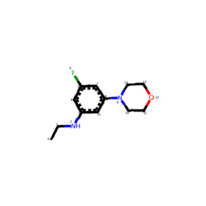 CCNc1cc(F)cc(N2CCOCC2)c1